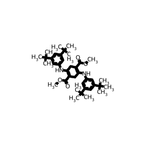 COC(=O)C1=C(Nc2cc(C(C)(C)C)cc(C(C)(C)C)c2)CC(C(=O)OC)=C(Nc2cc(C(C)(C)C)cc(C(C)(C)C)c2)C1